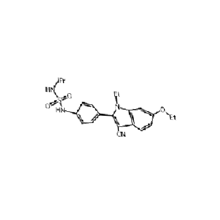 CCOc1ccc2c(C#N)c(-c3ccc(NS(=O)(=O)NC(C)C)cc3)n(CC)c2c1